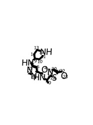 CC(NC(=O)c1cc(NC2CCNCC2)ncn1)c1ncc(C=O)s1